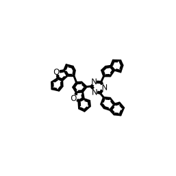 c1ccc2cc(-c3nc(-c4ccc5ccccc5c4)nc(-c4cc(-c5cccc6oc7ccccc7c56)cc5oc6ccccc6c45)n3)ccc2c1